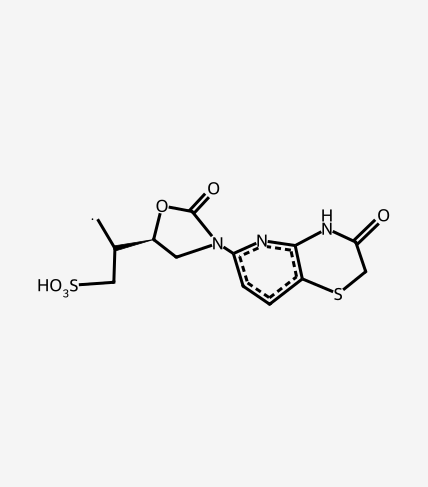 [CH2]C(CS(=O)(=O)O)[C@@H]1CN(c2ccc3c(n2)NC(=O)CS3)C(=O)O1